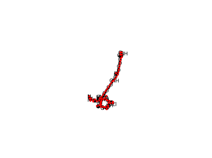 COC[C@@H]1NC(=O)[C@H](CCCNC(=O)CCOCCOCCOCCOCCC(=O)NCCOCc2cn(CCOCCOCCOCCOC[C@@]34CC[C@@H](NC(C)=O)[C@H](OC3)O4)nn2)N(Cc2ccc(Cl)cc2Oc2ccc(-c3cnc(CN(C)C)n3C)cc2)C(=O)C[C@@H](Cc2ccccc2)C(=O)N(C)[C@H]2CCCC[C@@H]2NC(=O)C[C@H](Cc2ccc(Cl)cc2)N(C)C1=O